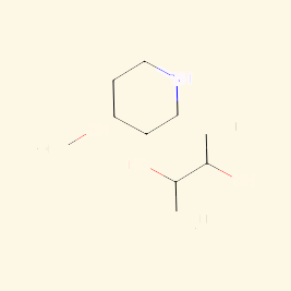 C1CCNCC1.O=C(O)C(O)C(O)C(=O)O.O=CO